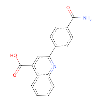 NC(=O)c1ccc(-c2cc(C(=O)O)c3ccccc3n2)cc1